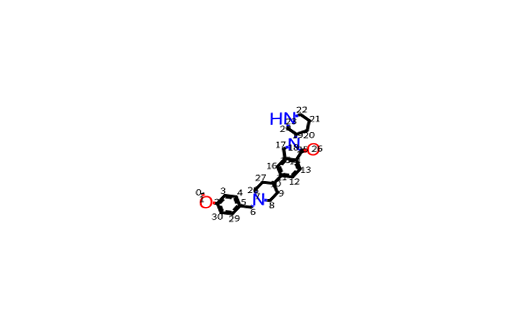 COc1ccc(CN2CCC(c3ccc4c(c3)CN(C3CCCNC3)C4=O)CC2)cc1